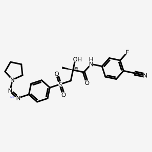 C[C@](O)(CS(=O)(=O)c1ccc(/N=N\N2CCCC2)cc1)C(=O)Nc1ccc(C#N)c(F)c1